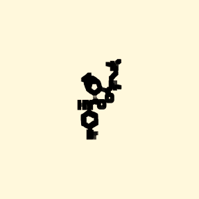 CN(C)CCN(C)C(=O)[C@@H]1C2C=CC([C@H]1C(=O)Nc1ccc(Br)cc1)C21CC1